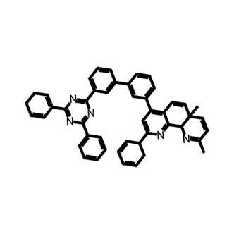 CC1=NC2c3nc(C4C=CC=CC4)cc(-c4cccc(-c5cccc(-c6nc(C7=CCCC=C7)nc(-c7ccccc7)n6)c5)c4)c3C=CC2(C)C=C1